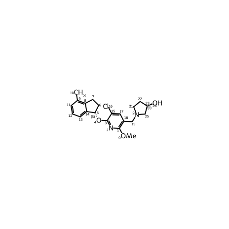 COc1nc(O[C@H]2CCc3c(C)cccc32)c(Cl)cc1CN1CC[C@@H](O)C1